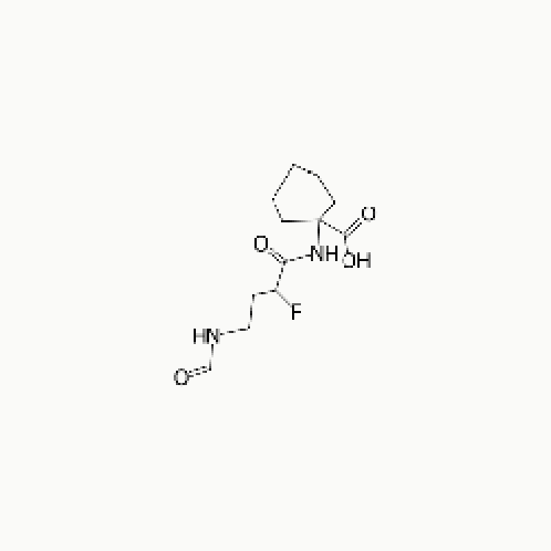 O=CNCCC(F)C(=O)NC1(C(=O)O)CCCCC1